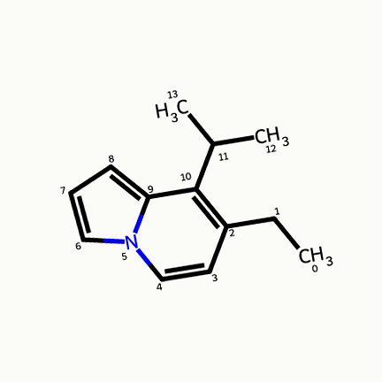 CCc1ccn2cccc2c1C(C)C